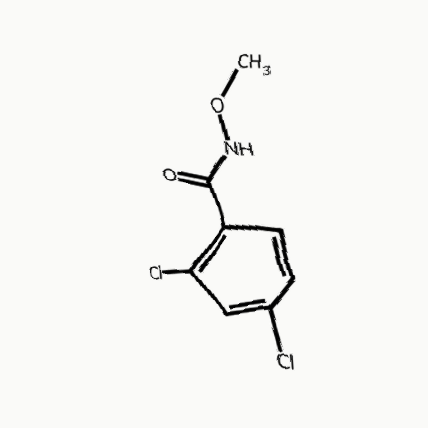 CONC(=O)c1ccc(Cl)cc1Cl